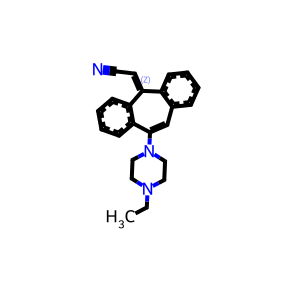 CCN1CCN(C2=Cc3ccccc3/C(=C/C#N)c3ccccc32)CC1